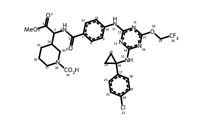 COC(=O)C(NC(=O)c1ccc(Nc2nc(NC3(c4ccc(Cl)cc4)CC3)nc(OCC(F)(F)F)n2)cc1)C1CCCN(C(=O)O)C1